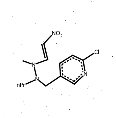 CCCN(Cc1ccc(Cl)nc1)N(C)C=C[N+](=O)[O-]